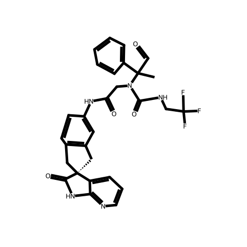 CC(C=O)(c1ccccc1)N(CC(=O)Nc1ccc2c(c1)C[C@@]1(C2)C(=O)Nc2ncccc21)C(=O)NCC(F)(F)F